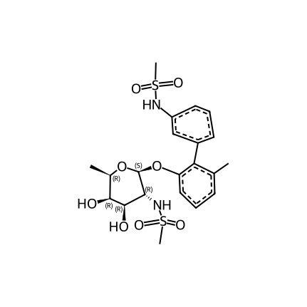 Cc1cccc(O[C@@H]2O[C@H](C)[C@H](O)[C@H](O)[C@H]2NS(C)(=O)=O)c1-c1cccc(NS(C)(=O)=O)c1